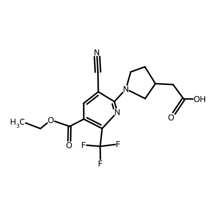 CCOC(=O)c1cc(C#N)c(N2CCC(CC(=O)O)C2)nc1C(F)(F)F